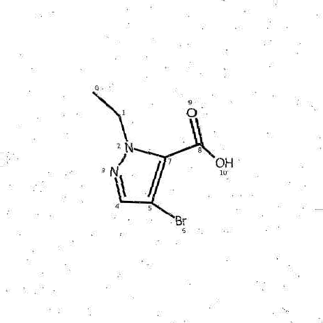 CCn1ncc(Br)c1C(=O)O